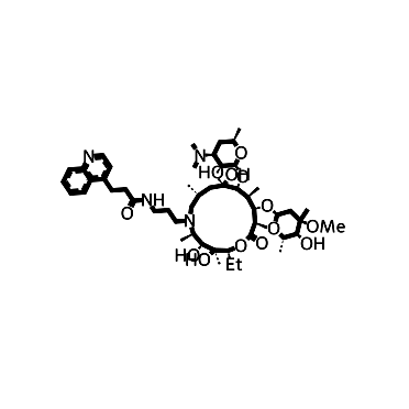 CC[C@H]1OC(=O)[C@H](C)[C@@H](O[C@H]2C[C@@](C)(OC)[C@@H](O)[C@H](C)O2)[C@H](C)[C@@H](O[C@@H]2O[C@H](C)C[C@H](N(C)C)[C@H]2O)[C@](C)(O)C[C@@H](C)CN(CCCNC(=O)CCc2ccnc3ccccc23)[C@H](C)[C@@H](O)[C@]1(C)O